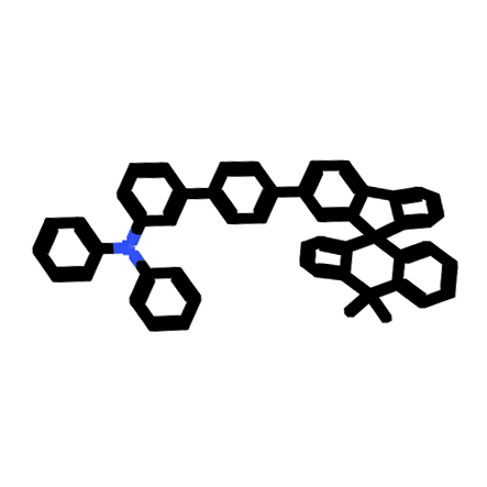 CC1(C)c2ccccc2C2(c3ccccc3-c3ccc(-c4ccc(-c5cccc(N(c6ccccc6)c6ccccc6)c5)cc4)cc32)c2ccccc21